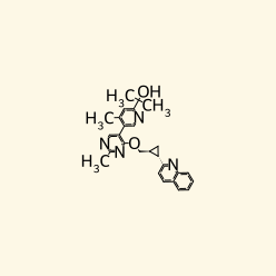 Cc1ncc(-c2cnc(C(C)(C)O)cc2C)c(OC[C@H]2C[C@@H]2c2ccc3ccccc3n2)n1